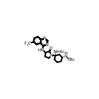 CC(=O)N[C@@]1(N2CCC(Nc3ncnc4ccc(C(F)(F)F)cc34)C2=O)CCC[C@@H](NC(C)(C)C)C1